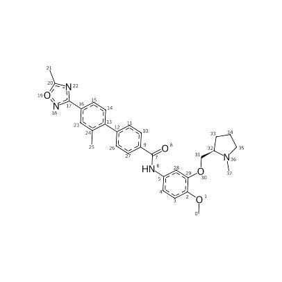 COc1ccc(NC(=O)c2ccc(-c3ccc(-c4noc(C)n4)cc3C)cc2)cc1OC[C@H]1CCCN1C